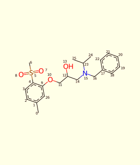 Cc1ccc(S(C)(=O)=O)c(OCC(O)CN(Cc2ccccc2)C(C)C)c1